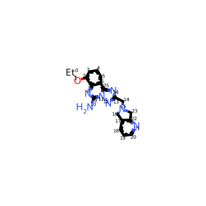 CCOc1cccc2c1nc(N)n1nc(CN3Cc4cccnc4C3)nc21